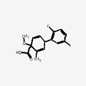 COC1(C(=O)O)C=CC(c2cc(I)ccc2F)C=C1C